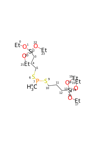 CCO[Si](CCCSP(C)SCCC[Si](OCC)(OCC)OCC)(OCC)OCC